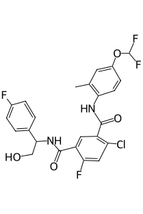 Cc1cc(OC(F)F)ccc1NC(=O)c1cc(C(=O)NC(CO)c2ccc(F)cc2)c(F)cc1Cl